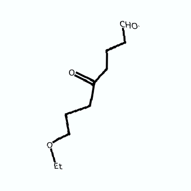 CCOCCCC(=O)CCC[C]=O